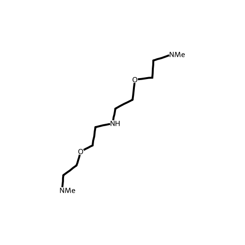 CNCCOCCNCCOCCNC